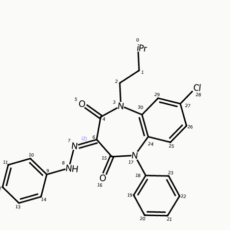 CC(C)CCn1c(=O)/c(=N/Nc2ccccc2)c(=O)n(-c2ccccc2)c2ccc(Cl)cc21